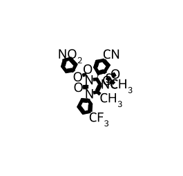 [C-]#[N+]C1=C(C)N(c2cccc(C(F)(F)F)c2)C(=O)N(C(=O)Oc2ccc([N+](=O)[O-])cc2)[C@@H]1c1ccc(C#N)cc1S(C)(=O)=O